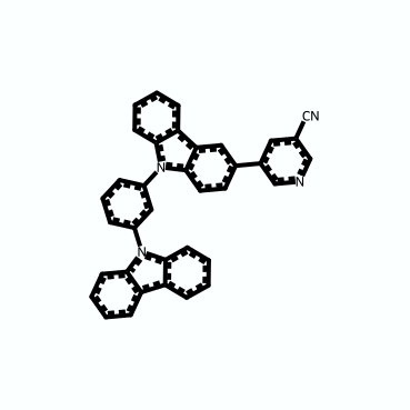 N#Cc1cncc(-c2ccc3c(c2)c2ccccc2n3-c2cccc(-n3c4ccccc4c4ccccc43)c2)c1